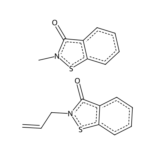 C=CCn1sc2ccccc2c1=O.Cn1sc2ccccc2c1=O